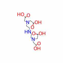 O=C(O)CN(CCNCCN(CC(=O)O)CC(=O)O)CC(=O)O